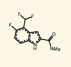 CNC(=O)c1cc2c(C(F)F)c(F)ccc2[nH]1